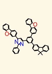 CC1(C)c2ccccc2-c2cc(-c3cc(-c4ccc5oc6ccccc6c5c4)cc(-c4cc(-c5ccc6c(c5)oc5ccccc56)nc(-c5ccccc5)n4)c3)ccc21